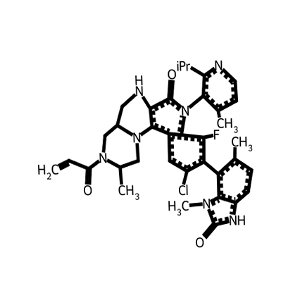 C=CC(=O)N1CC2CNc3c(c4cc(Cl)c(-c5c(C)ccc6[nH]c(=O)n(C)c56)c(F)c4n(-c4c(C)ccnc4C(C)C)c3=O)N2CC1C